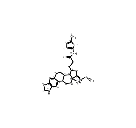 CO/N=C1\CC(CCC(=O)Nc2ncc(C)s2)C2C3CCc4cc5c(cc4C3CCC12C)NCO5